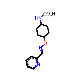 O=C(O)NC1CCC(O/N=C/c2ccccn2)CC1